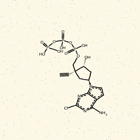 C#C[C@@]1(COP(=O)(O)OP(=O)(O)OP(=O)(O)O)C[C@H](n2ccc3c(N)nc(Cl)nc32)C[C@H]1O